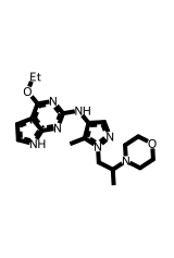 CCOc1nc(Nc2cnn(CC(C)N3CCOCC3)c2C)nc2[nH]ccc12